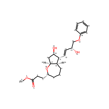 CC(C)OC(=O)CC[C@H]1CCC[C@@H]2[C@@H](/C=C/[C@@H](O)COc3ccccc3)[C@H](O)C[C@@H]2O1